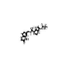 CC(C)(C)C(=O)Nc1c[nH]c2c(C(=O)NCc3ccc4c(c3)NC(=O)CO4)ncnc12